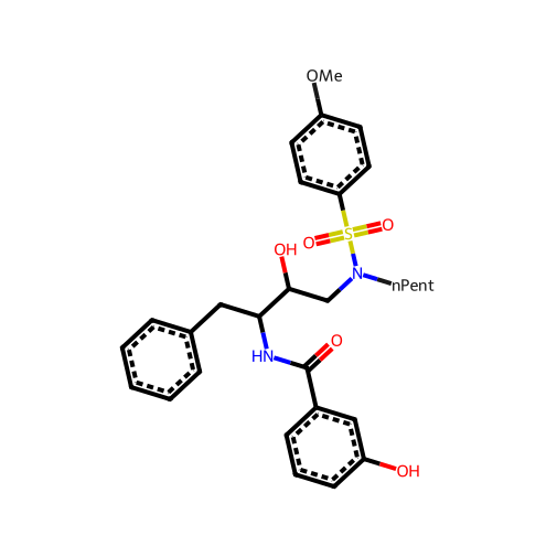 CCCCCN(CC(O)C(Cc1ccccc1)NC(=O)c1cccc(O)c1)S(=O)(=O)c1ccc(OC)cc1